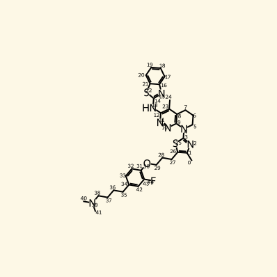 Cc1nc(N2CCCc3c2nnc(Nc2nc4ccccc4s2)c3C)sc1CCCOc1ccc(CCCCN(C)C)cc1F